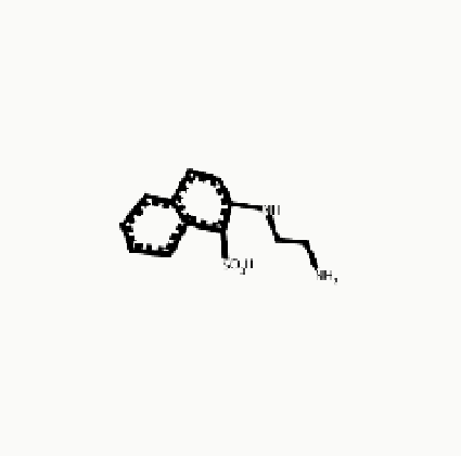 NCCNc1ccc2ccccc2c1S(=O)(=O)O